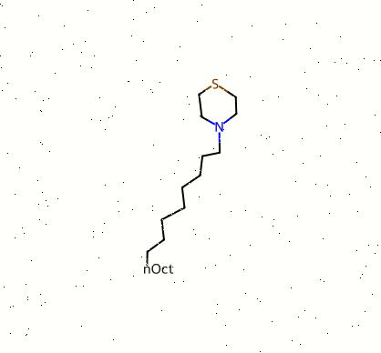 CCCCCCCCCCCCCCCCN1CCSCC1